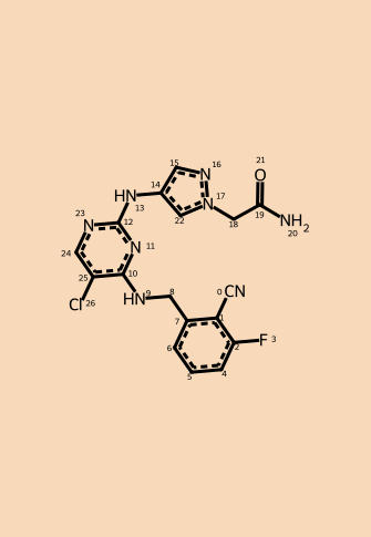 N#Cc1c(F)cccc1CNc1nc(Nc2cnn(CC(N)=O)c2)ncc1Cl